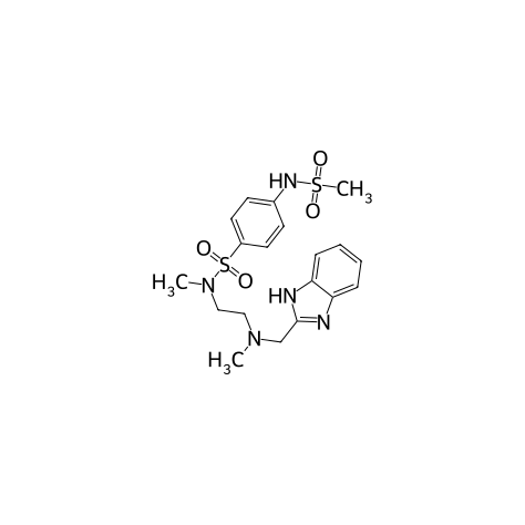 CN(CCN(C)S(=O)(=O)c1ccc(NS(C)(=O)=O)cc1)Cc1nc2ccccc2[nH]1